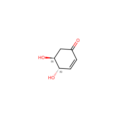 O=C1C=C[C@H](O)[C@@H](O)C1